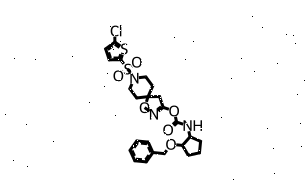 O=C(NC1CCCC1OCc1ccccc1)OC1=NOC2(CCN(S(=O)(=O)c3ccc(Cl)s3)CC2)C1